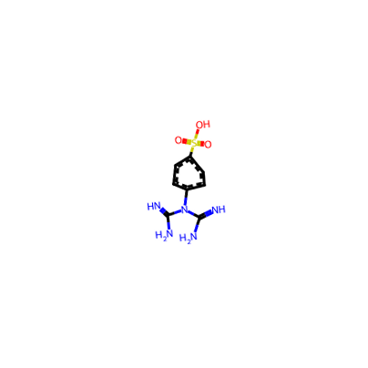 N=C(N)N(C(=N)N)c1ccc(S(=O)(=O)O)cc1